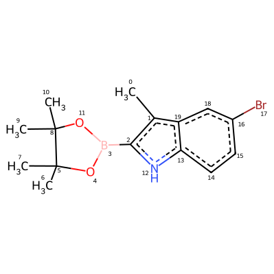 Cc1c(B2OC(C)(C)C(C)(C)O2)[nH]c2ccc(Br)cc12